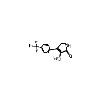 O=C1NCC(c2ccc(C(F)(F)F)cc2)=C1O